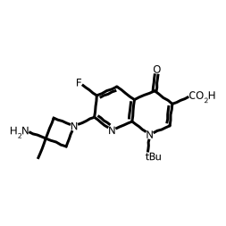 CC1(N)CN(c2nc3c(cc2F)c(=O)c(C(=O)O)cn3C(C)(C)C)C1